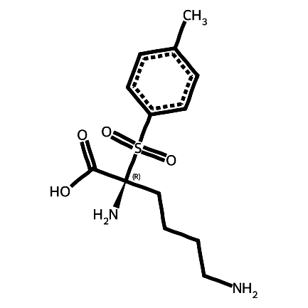 Cc1ccc(S(=O)(=O)[C@](N)(CCCCN)C(=O)O)cc1